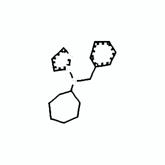 c1ccc(CN(C2CCCCCC2)n2cccn2)cc1